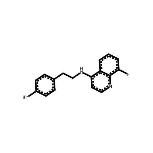 CC(C)c1ccc(CCNc2ccnc3c(F)cccc23)cc1